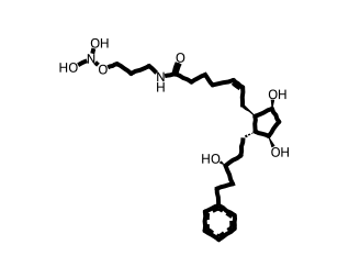 O=C(CCC/C=C\C[C@@H]1[C@@H](CC[C@@H](O)CCc2ccccc2)[C@H](O)C[C@@H]1O)NCCCON(O)O